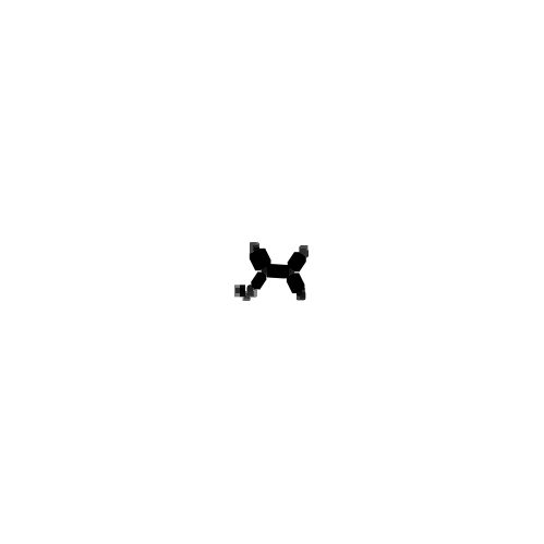 B#S(C)=S(=S)=S